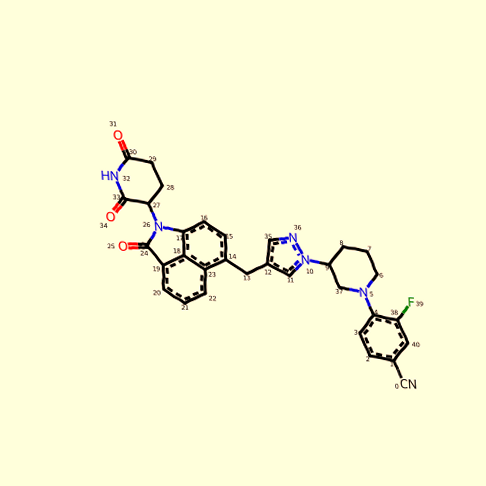 N#Cc1ccc(N2CCCC(n3cc(Cc4ccc5c6c(cccc46)C(=O)N5C4CCC(=O)NC4=O)cn3)C2)c(F)c1